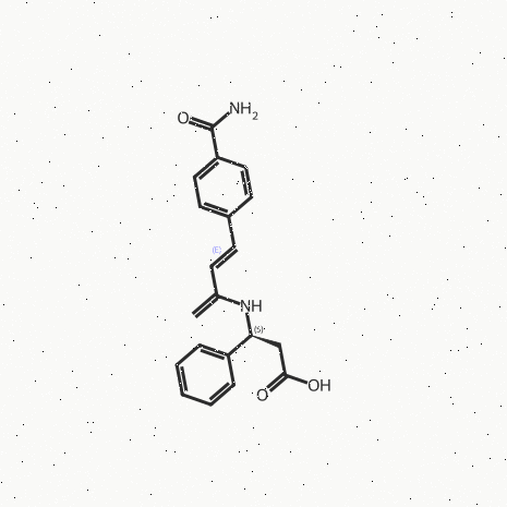 C=C(/C=C/c1ccc(C(N)=O)cc1)N[C@@H](CC(=O)O)c1ccccc1